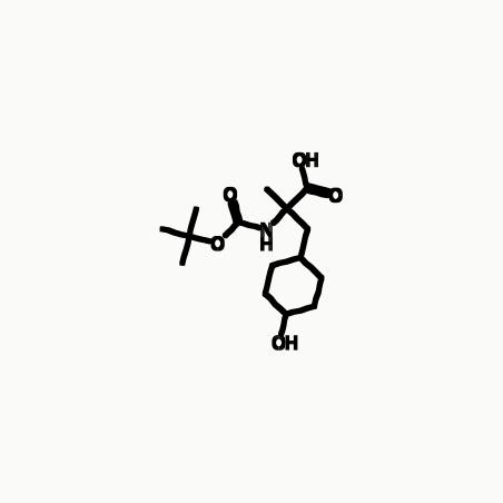 CC(C)(C)OC(=O)NC(C)(CC1CCC(O)CC1)C(=O)O